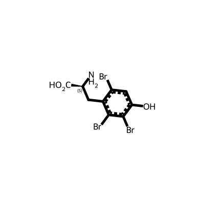 N[C@@H](Cc1c(Br)cc(O)c(Br)c1Br)C(=O)O